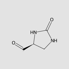 O=[C][C@@H]1CNC(=O)N1